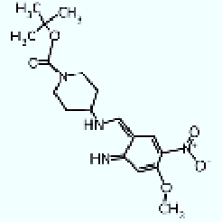 COC1=CC(=N)/C(=C\NC2CCN(C(=O)OC(C)(C)C)CC2)C=C1[N+](=O)[O-]